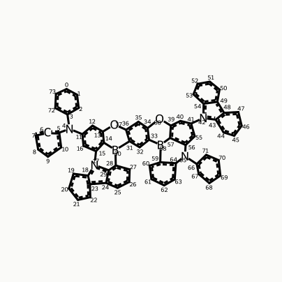 c1ccc(N(c2ccccc2)c2cc3c4c(c2)-n2c5ccccc5c5cccc(c52)B4c2cc4c(cc2O3)Oc2cc(-n3c5ccccc5c5ccccc53)cc3c2B4c2ccccc2N3c2ccccc2)cc1